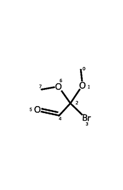 COC(Br)(C=O)OC